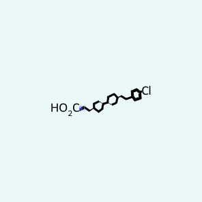 O=C(O)/C=C/C[C@H]1CC[C@H]([C@H]2CC[C@H](CCc3ccc(Cl)cc3)CC2)CC1